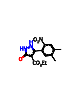 CCOC(=O)c1c(-c2cc(C)c(C)cc2[N+](=O)[O-])[nH][nH]c1=O